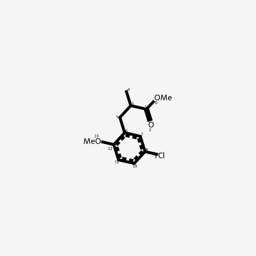 COC(=O)C(C)Cc1cc(Cl)ccc1OC